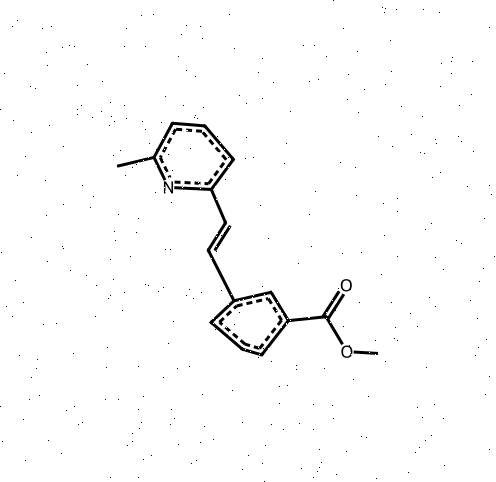 COC(=O)c1cccc(C=Cc2cccc(C)n2)c1